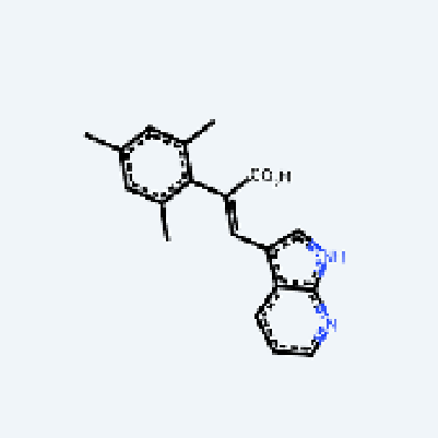 Cc1cc(C)c(C(=Cc2c[nH]c3ncccc23)C(=O)O)c(C)c1